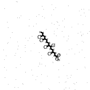 CCC(Cl)CC(Cl)CCCC(Cl)C(Cl)CCC(Cl)CCC(=O)OC